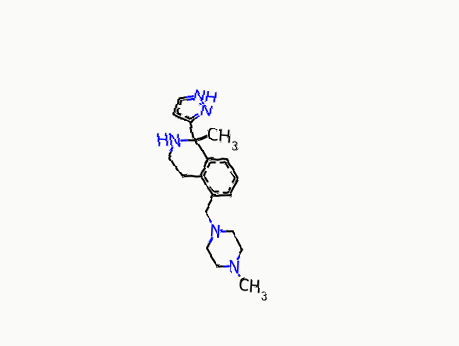 CN1CCN(Cc2cccc3c2CCNC3(C)c2cc[nH]n2)CC1